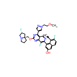 C#Cc1c(F)ccc2cc(O)cc(-c3ncc4c(-c5cnn(CCOC)c5)nc(OC[C@@]56CCCN5C[C@H](F)C6)nc4c3F)c12